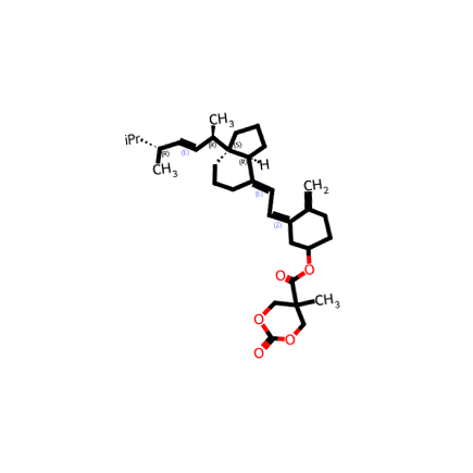 C=C1CCC(OC(=O)C2(C)COC(=O)OC2)C/C1=C/C=C1\CCC[C@]2([C@H](C)/C=C/[C@H](C)C(C)C)CCC[C@@H]12